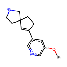 CC(C)Oc1cncc(C2=CC3(CCNC3)CC2)c1